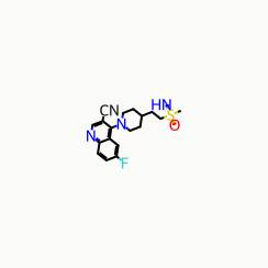 CS(=N)(=O)CCC1CCN(c2c(C#N)cnc3ccc(F)cc23)CC1